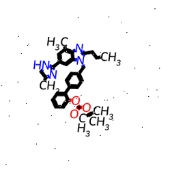 CCCc1nc2c(C)cc(C3=NC(C)CN3)cc2n1Cc1ccc(-c2ccccc2OC(=O)OC(C)(C)C)cc1